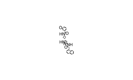 COc1cccc(C(=O)N[C@H]2C[C@@H](c3cc(NC(=O)Cc4cccc5ccccc45)n[nH]3)C2)c1